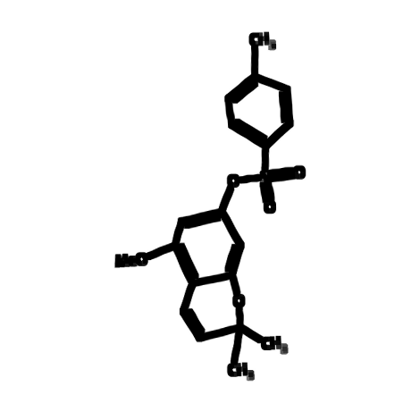 COc1cc(OS(=O)(=O)c2ccc(C)cc2)cc2c1C=CC(C)(C)O2